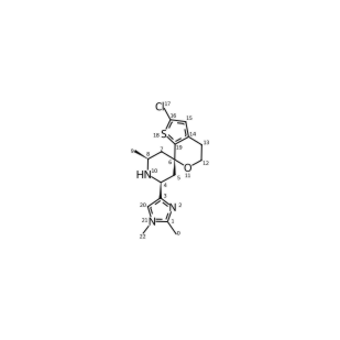 Cc1nc([C@@H]2C[C@]3(C[C@H](C)N2)OCCc2cc(Cl)sc23)cn1C